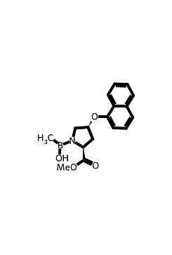 COC(=O)[C@@H]1C[C@@H](Oc2cccc3ccccc23)CN1B(C)O